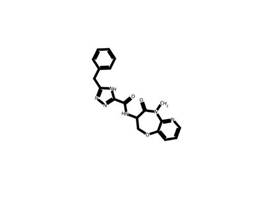 CN1C(=O)C(NC(=O)c2nnc(Cc3ccccc3)[nH]2)COc2cccnc21